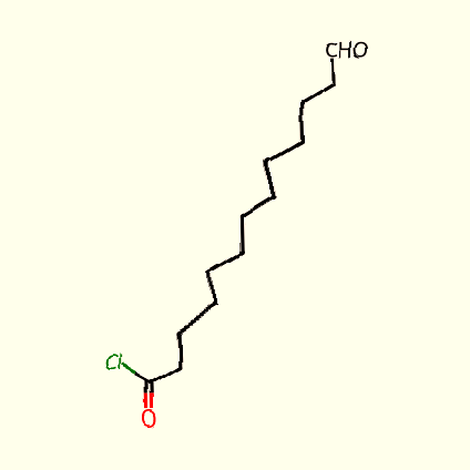 O=CCCCCCCCCCCCC(=O)Cl